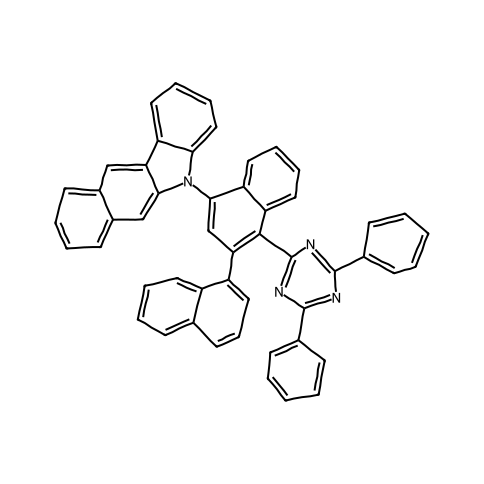 c1ccc(-c2nc(-c3ccccc3)nc(-c3c(-c4cccc5ccccc45)cc(-n4c5ccccc5c5cc6ccccc6cc54)c4ccccc34)n2)cc1